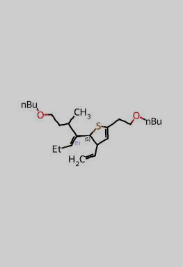 C=CC1C=C(CCOCCCC)S[C@@H]1/C(=C/CC)C(C)CCOCCCC